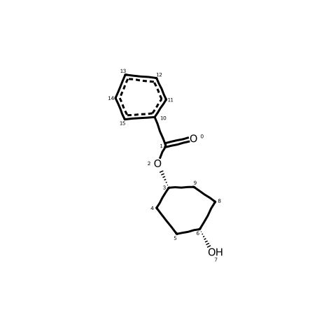 O=C(O[C@H]1CC[C@@H](O)CC1)c1ccccc1